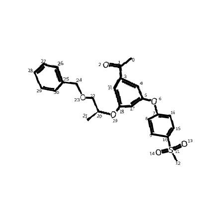 CC(=O)c1cc(Oc2ccc(S(C)(=O)=O)cc2)cc(O[C@@H](C)COCc2ccccc2)c1